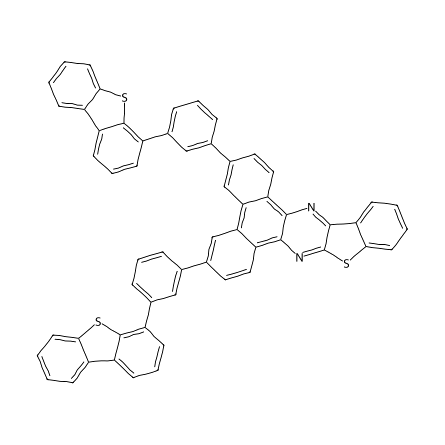 c1cc(-c2ccc3c(c2)c2cc(-c4cccc(-c5cccc6c5sc5ccccc56)c4)ccc2c2nc4c(nc32)sc2ccccc24)cc(-c2cccc3c2sc2ccccc23)c1